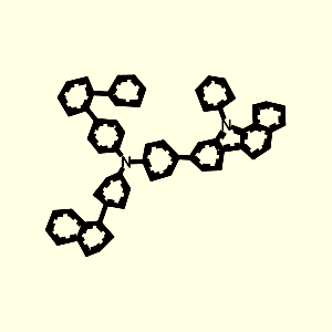 c1ccc(-c2ccccc2-c2ccc(N(c3ccc(-c4ccc5c6ccc7ccccc7c6n(-c6ccccc6)c5c4)cc3)c3ccc(-c4cccc5ccccc45)cc3)cc2)cc1